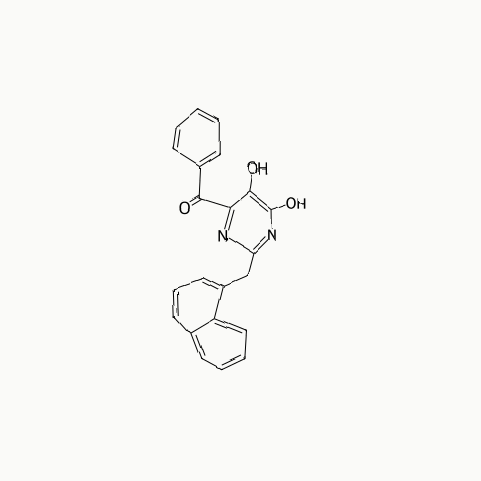 O=C(c1ccccc1)c1nc(Cc2cccc3ccccc23)nc(O)c1O